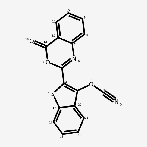 N#COc1c(-c2nc3ccccc3c(=O)o2)sc2ccccc12